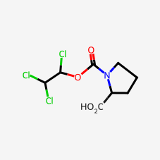 O=C(O)C1CCCN1C(=O)OC(Cl)C(Cl)Cl